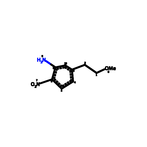 COCCc1ccc([N+](=O)[O-])c(N)c1